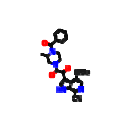 COc1cnc(C#N)c2[nH]cc(C(=O)C(=O)N3CCN(C(=O)c4ccccc4)C(C)C3)c12